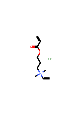 C=CC(=O)OCCC[N+](C)(C)C=C.[Cl-]